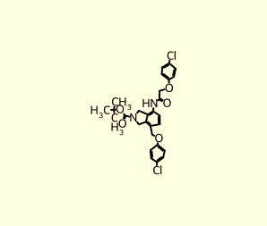 CC(C)(C)OC(=O)N1Cc2c(COc3ccc(Cl)cc3)ccc(NC(=O)COc3ccc(Cl)cc3)c2C1